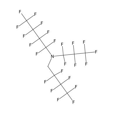 FC(F)(F)C(F)(F)C(F)(F)CN(C(F)(F)C(F)(F)C(F)(F)F)C(F)(F)C(F)(F)C(F)(F)C(F)(F)F